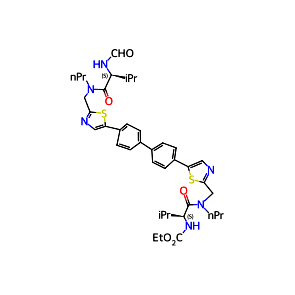 CCCN(Cc1ncc(-c2ccc(-c3ccc(-c4cnc(CN(CCC)C(=O)[C@@H](NC(=O)OCC)C(C)C)s4)cc3)cc2)s1)C(=O)[C@@H](NC=O)C(C)C